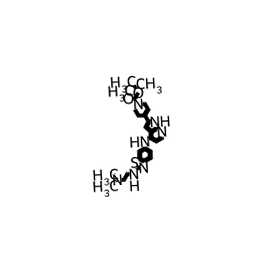 CN(C)CCNc1nc2ccc(Nc3ccnc4[nH]c(C5=CCN(C(=O)OC(C)(C)C)CC5)cc34)cc2s1